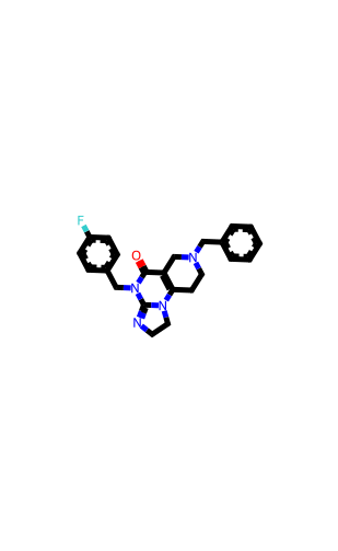 O=C1C2=C(CCN(Cc3ccccc3)C2)N2CCN=C2N1Cc1ccc(F)cc1